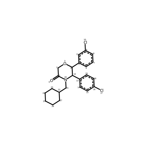 O=C1COC(c2cccc(Cl)c2)C(c2ccc(Cl)cc2)N1CC1CCCCC1